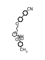 Cc1ccc(S(=O)(=O)NC2CCCN2CCCOc2ccc(-c3ccc(C#N)cc3)cc2)cc1